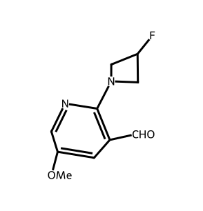 COc1cnc(N2CC(F)C2)c(C=O)c1